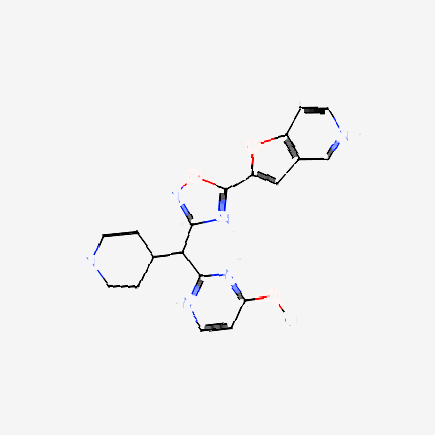 COc1ccnc(C(c2noc(-c3cc4cnccc4o3)n2)C2CCNCC2)n1